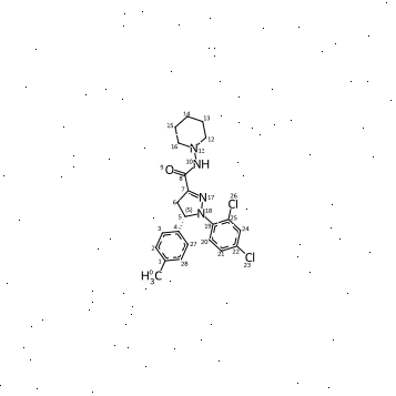 Cc1ccc([C@@H]2CC(C(=O)NN3CCCCC3)=NN2c2ccc(Cl)cc2Cl)cc1